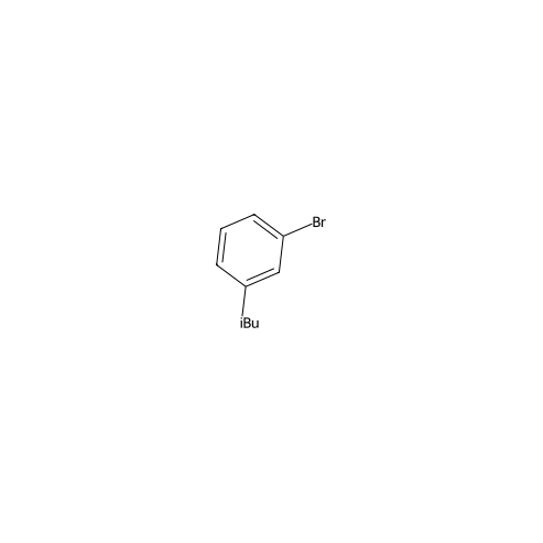 [CH2]C(CC)c1cccc(Br)c1